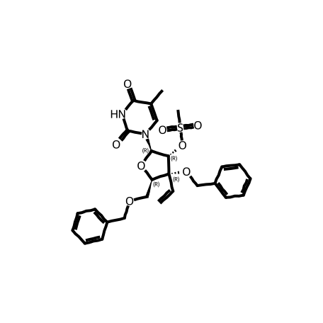 C=C[C@@]1(OCc2ccccc2)[C@@H](COCc2ccccc2)O[C@@H](n2cc(C)c(=O)[nH]c2=O)[C@@H]1OS(C)(=O)=O